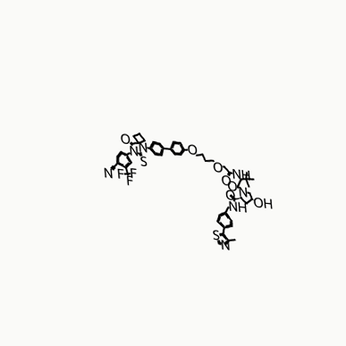 Cc1ncsc1-c1ccc(CNC(=O)[C@@H]2C[C@@H](O)CN2C(=O)[C@@H](NC(=O)COCCCCOc2ccc(-c3ccc(N4C(=S)N(c5ccc(C#N)c(C(F)(F)F)c5)C(=O)C45CCC5)cc3)cc2)C(C)(C)C)cc1